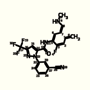 C=C\C=C(F)/C(=C\C=C/NC)NC(=O)c1cc(C(F)(F)F)nn1-c1cccc(C#N)c1